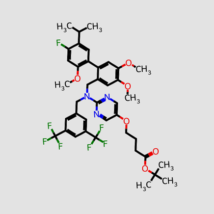 COc1cc(CN(Cc2cc(C(F)(F)F)cc(C(F)(F)F)c2)c2ncc(OCCCC(=O)OC(C)(C)C)cn2)c(-c2cc(C(C)C)c(F)cc2OC)cc1OC